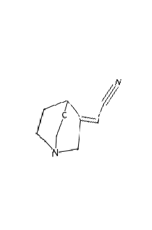 N#CC=C1CN2CCC1CC2